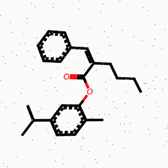 CCCCC(=Cc1ccccc1)C(=O)Oc1cc(C(C)C)ccc1C